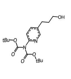 CC(C)(C)OC(=O)N(C(=O)OC(C)(C)C)c1ccc(CCCO)cn1